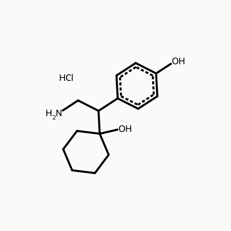 Cl.NCC(c1ccc(O)cc1)C1(O)CCCCC1